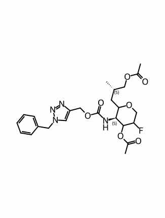 CC(=O)OC[C@@H](C)CC1OCC(F)C(OC(C)=O)[C@H]1NC(=O)OCc1cn(Cc2ccccc2)nn1